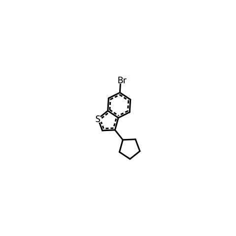 Brc1ccc2c(C3CCCC3)csc2c1